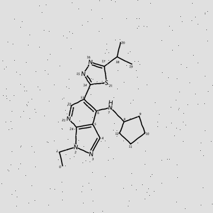 CCn1ncc2c(NC3CCCC3)c(-c3nnc(C(C)C)s3)cnc21